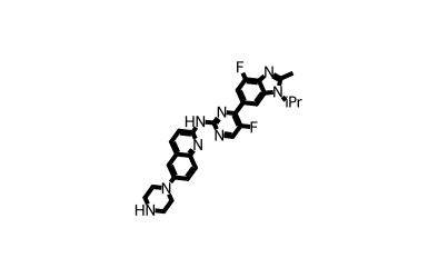 Cc1nc2c(F)cc(-c3nc(Nc4ccc5cc(N6CCNCC6)ccc5n4)ncc3F)cc2n1C(C)C